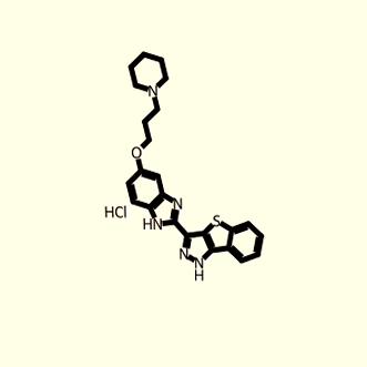 Cl.c1ccc2c(c1)sc1c(-c3nc4cc(OCCCN5CCCCC5)ccc4[nH]3)n[nH]c12